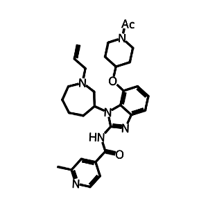 C=CCN1CCCCC(n2c(NC(=O)c3ccnc(C)c3)nc3cccc(OC4CCN(C(C)=O)CC4)c32)C1